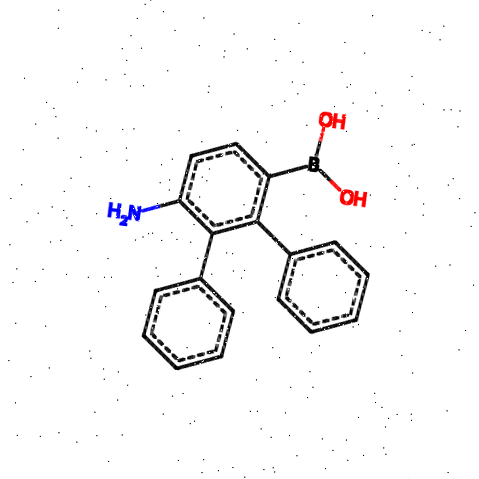 Nc1ccc(B(O)O)c(-c2ccccc2)c1-c1ccccc1